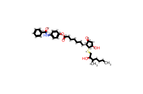 CCCCC(C)C(O)CS[C@H]1[C@H](O)CC(=O)[C@@H]1CCCCCCC(=O)Oc1ccc(NC(=O)c2ccccc2)cc1